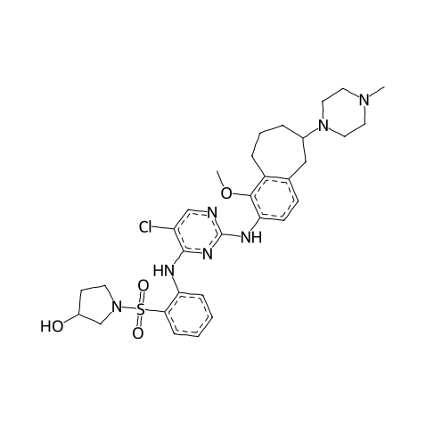 COc1c(Nc2ncc(Cl)c(Nc3ccccc3S(=O)(=O)N3CCC(O)C3)n2)ccc2c1CCCC(N1CCN(C)CC1)C2